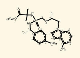 CCCOC(=O)C(C)(C)NP(=O)(CO[C@H](C)Cn1cnc2c(N)ncnc21)N[C@@H](C)c1ccc(OC)cc1